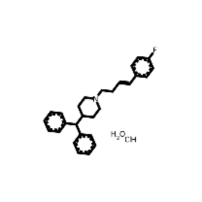 Cl.Fc1ccc(C=CCCN2CCC(C(c3ccccc3)c3ccccc3)CC2)cc1.O